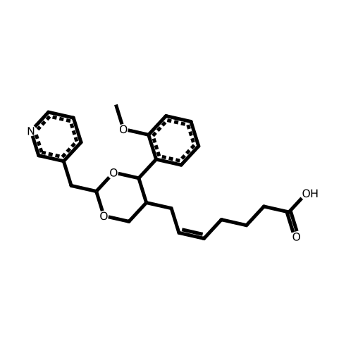 COc1ccccc1C1OC(Cc2cccnc2)OCC1C/C=C\CCCC(=O)O